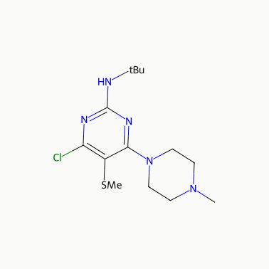 CSc1c(Cl)nc(NC(C)(C)C)nc1N1CCN(C)CC1